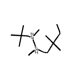 CCC(C)(C)C[SiH](C)[SiH](C)C(C)(C)C